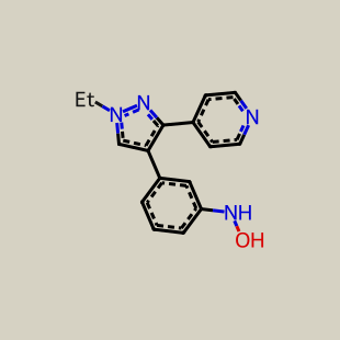 CCn1cc(-c2cccc(NO)c2)c(-c2ccncc2)n1